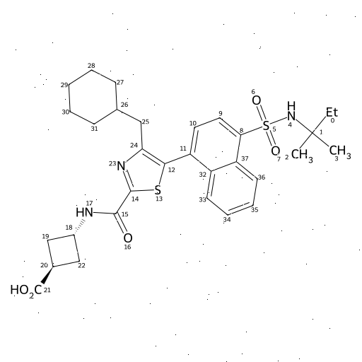 CCC(C)(C)NS(=O)(=O)c1ccc(-c2sc(C(=O)N[C@H]3C[C@H](C(=O)O)C3)nc2CC2CCCCC2)c2ccccc12